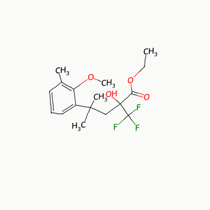 CCOC(=O)C(O)(CC(C)(C)c1cccc(C)c1OC)C(F)(F)F